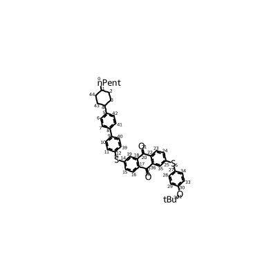 CCCCCC1CCC(c2ccc(-c3ccc(Sc4ccc5c(c4)C(=O)c4ccc(Sc6ccc(OC(C)(C)C)cc6)cc4C5=O)cc3)cc2)CC1